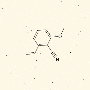 C=Cc1cccc(OC)c1C#N